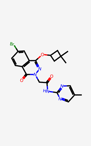 Cc1cnc(NC(=O)Cn2nc(OC3CC(C)(C)C3)c3cc(Br)ccc3c2=O)nc1